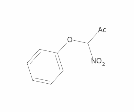 CC(=O)C(Oc1ccccc1)[N+](=O)[O-]